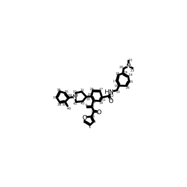 C=C(C(=O)c1ccco1)c1cc(C(=O)NCC2=C=CC(CN(C)C)=CC=C2)ccc1C1CCN(c2ccccc2C)CC1